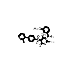 CCCCc1nc(=O)c(S(=O)(=O)c2ccc(-c3cccnc3C)cc2)c(O)n1[C@@H](CC)c1cccc(OC)c1